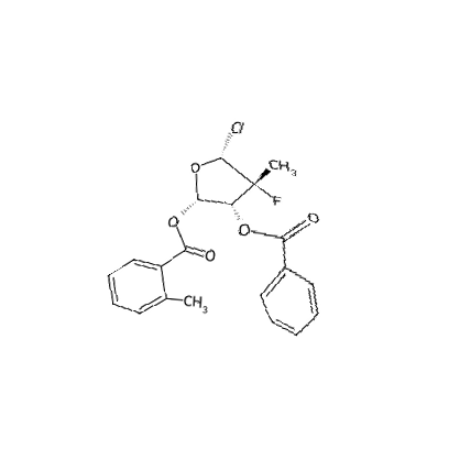 Cc1ccccc1C(=O)O[C@@H]1O[C@H](Cl)[C@](C)(F)[C@@H]1OC(=O)c1ccccc1